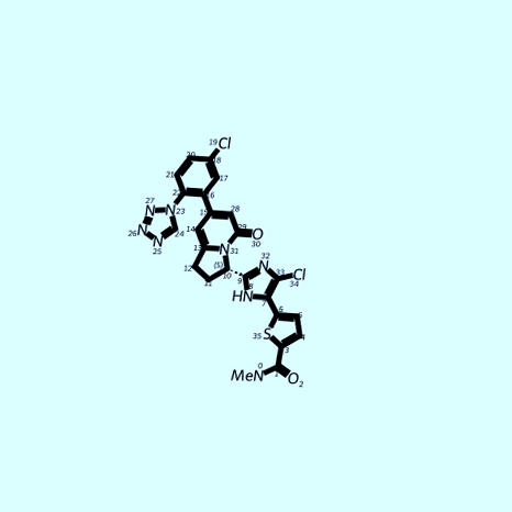 CNC(=O)c1ccc(-c2[nH]c([C@@H]3CCc4cc(-c5cc(Cl)ccc5-n5cnnn5)cc(=O)n43)nc2Cl)s1